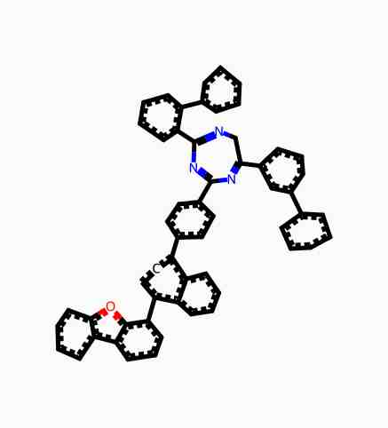 c1ccc(-c2cccc(C3=NC(c4ccc(-c5ccc(-c6cccc7c6oc6ccccc67)c6ccccc56)cc4)=NC(c4ccccc4-c4ccccc4)=NC3)c2)cc1